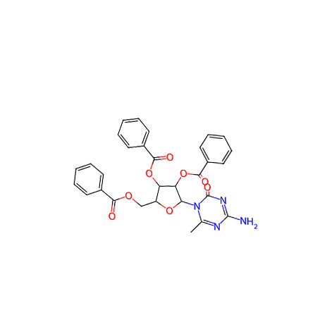 Cc1nc(N)nc(=O)n1C1OC(COC(=O)c2ccccc2)C(OC(=O)c2ccccc2)C1OC(=O)c1ccccc1